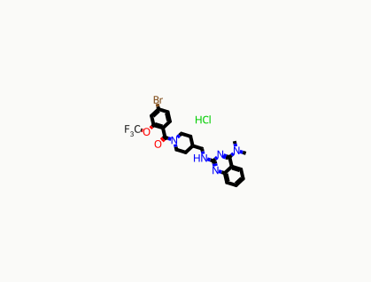 CN(C)c1nc(NCC2CCN(C(=O)c3ccc(Br)cc3OC(F)(F)F)CC2)nc2ccccc12.Cl